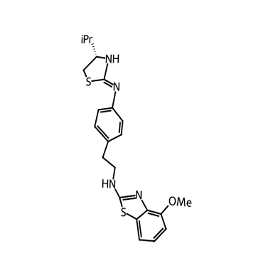 COc1cccc2sc(NCCc3ccc(/N=C4/N[C@@H](C(C)C)CS4)cc3)nc12